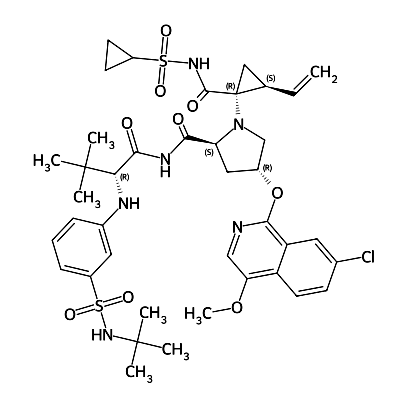 C=C[C@@H]1C[C@@]1(C(=O)NS(=O)(=O)C1CC1)N1C[C@H](Oc2ncc(OC)c3ccc(Cl)cc23)C[C@H]1C(=O)NC(=O)[C@H](Nc1cccc(S(=O)(=O)NC(C)(C)C)c1)C(C)(C)C